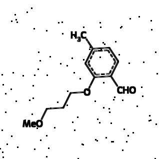 COCCCOc1cc(C)ccc1C=O